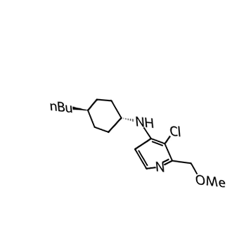 CCCC[C@H]1CC[C@H](Nc2ccnc(COC)c2Cl)CC1